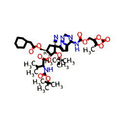 Cc1oc(=O)oc1COC(=O)Nc1ncnn2c([C@]3(C#N)C[C@H](COC(=O)CC4CCCCC4)[C@@H](OC(=O)C(NC(=O)OC(C)(C)C)C(C)C)C3O[Si](C)(C)C)ccc12